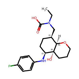 CCN(C[C@@H]1CC[C@H](Nc2ccc(F)cc2)[C@]2(O)CCCO[C@H]12)C(=O)O